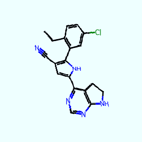 CCc1ccc(Cl)cc1-c1[nH]c(-c2ncnc3c2CCN3)cc1C#N